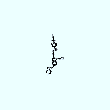 CC(C)(C#N)c1ccc(NCC#Cc2cc3cc(CNC4CCOCC4)ccc3n2CCCl)cn1